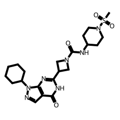 CS(=O)(=O)N1CCC(NC(=O)N2CC(c3nc4c(cnn4C4CCCCC4)c(=O)[nH]3)C2)CC1